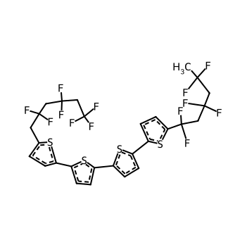 CC(F)(F)CC(F)(F)CC(F)(F)c1ccc(-c2ccc(-c3ccc(-c4ccc(CC(F)(F)CC(F)(F)CC(F)(F)F)s4)s3)s2)s1